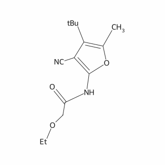 CCOCC(=O)Nc1oc(C)c(C(C)(C)C)c1C#N